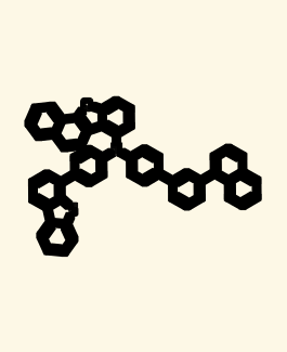 c1cc(-c2ccc(N(c3ccc(-c4cccc5c4sc4ccccc45)cc3)c3cccc4oc5c6ccccc6ccc5c34)cc2)cc(-c2cccc3ccccc23)c1